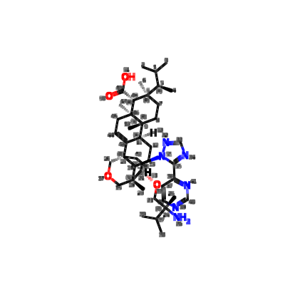 CC(C)[C@@H](C)[C@@]1(C)CC[C@]2(C)[C@H]3CC[C@@H]4[C@@]5(COC[C@@]4(C)[C@@H](OC[C@](C)(N)C(C)C)[C@H](n4ncnc4-c4ccncn4)C5)C3=CC[C@@]2(C)[C@@H]1C(=O)O